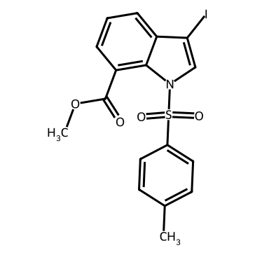 COC(=O)c1cccc2c(I)cn(S(=O)(=O)c3ccc(C)cc3)c12